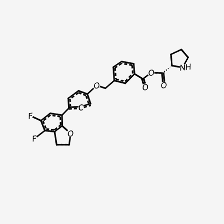 O=C(OC(=O)[C@@H]1CCCN1)c1cccc(COc2ccc(-c3cc(F)c(F)c4c3OCC4)cc2)c1